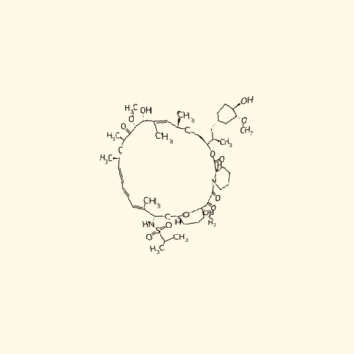 CO[C@@H]1C[C@H](C[C@@H](C)[C@@H]2CC[C@H](C)/C=C(\C)[C@@H](O)[C@@H](OC)C(=O)[C@H](C)C[C@H](C)/C=C/C=C/C=C(\C)[C@@H](NS(=O)(=O)C(C)C)C[C@@H]3CC[C@@H](C)[C@@](O)(O3)C(=O)C(=O)N3CCCC[C@H]3C(=O)O2)CC[C@H]1O